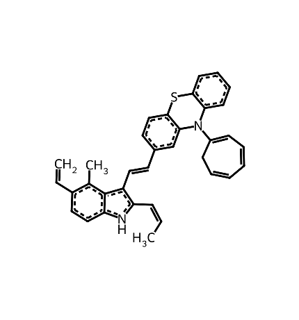 C=Cc1ccc2[nH]c(/C=C\C)c(/C=C/c3ccc4c(c3)N(C3=CC=CC=CC3)c3ccccc3S4)c2c1C